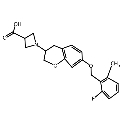 Cc1cccc(F)c1COc1ccc2c(c1)OCC(N1CC(C(=O)O)C1)C2